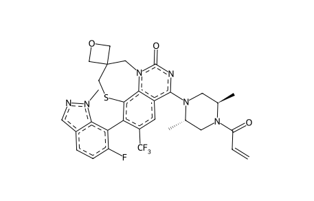 C=CC(=O)N1C[C@H](C)N(c2nc(=O)n3c4c(c(-c5c(F)ccc6cnn(C)c56)c(C(F)(F)F)cc24)SCC2(COC2)C3)C[C@H]1C